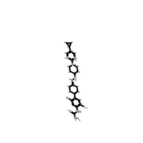 NC(=O)Nc1cc(F)c(C2CCC(=NOC3CCN(c4ncc(C5CC5)cn4)CC3)CC2)cc1F